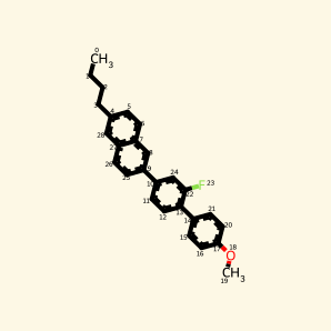 CCCCc1ccc2cc(-c3ccc(-c4ccc(OC)cc4)c(F)c3)ccc2c1